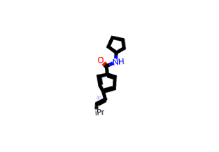 CC(C)/C=C/c1ccc(C(=O)NC2CCCC2)cc1